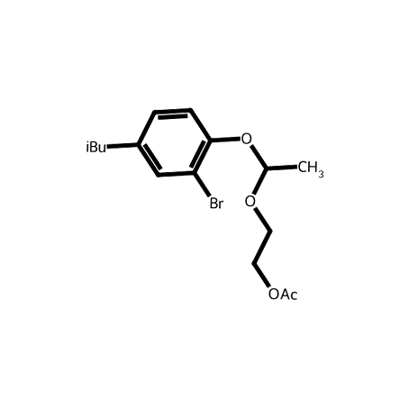 CCC(C)c1ccc(OC(C)OCCOC(C)=O)c(Br)c1